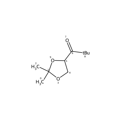 CC1(C)OCC(C(=O)C(C)(C)C)O1